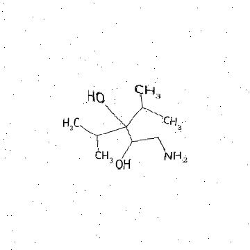 CC(C)C(O)(C(C)C)C(O)CN